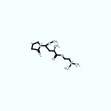 CCC(C[C@@H](C)C(=O)OCCN(C)C)N1CCCC1=O